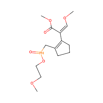 COC=C(C(=O)OC)C1=C(C[PH](=O)OCCOC)CCC1